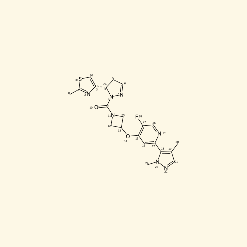 Cc1nc([C@@H]2CC=NN2C(=O)N2CC(Oc3cc(-c4c(C)cnn4C)ncc3F)C2)cs1